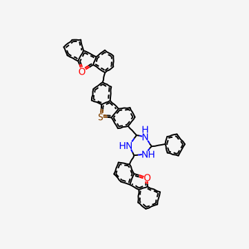 c1ccc(C2NC(c3ccc4c(c3)sc3ccc(-c5cccc6c5oc5ccccc56)cc34)NC(c3cccc4c3oc3ccccc34)N2)cc1